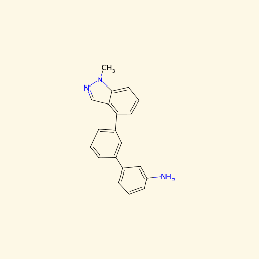 Cn1ncc2c(-c3cccc(-c4cccc(N)c4)c3)cccc21